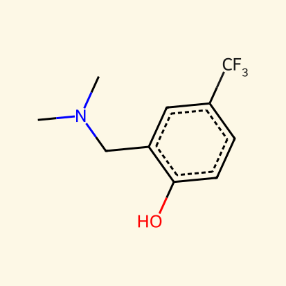 CN(C)Cc1cc(C(F)(F)F)ccc1O